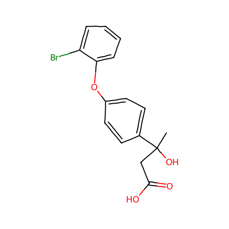 CC(O)(CC(=O)O)c1ccc(Oc2ccccc2Br)cc1